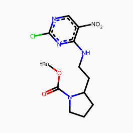 CC(C)(C)OC(=O)N1CCCC1CCNc1nc(Cl)ncc1[N+](=O)[O-]